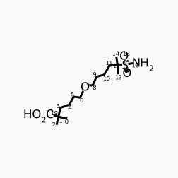 CC(C)(CCCCOCCCCC(C)(C)S(N)(=O)=O)C(=O)O